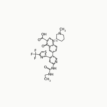 CCNC(=O)Nc1cc(-c2nc(C(F)(F)F)cs2)c(-c2ccc3c(c2)c(=O)c(C(=O)O)cn3[C@H]2CCCN(C)C2)cn1